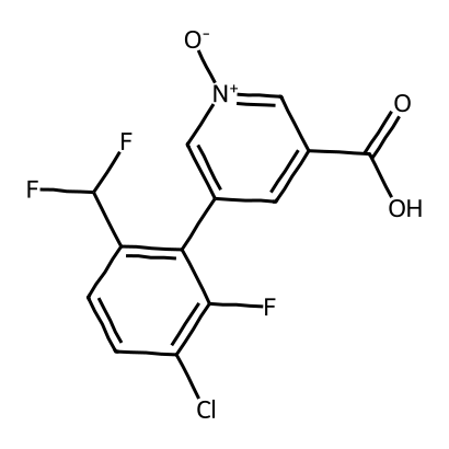 O=C(O)c1cc(-c2c(C(F)F)ccc(Cl)c2F)c[n+]([O-])c1